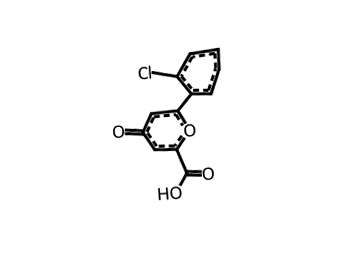 O=C(O)c1cc(=O)cc(-c2ccccc2Cl)o1